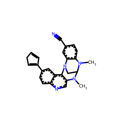 CN1c2ccc(C#N)cc2N2CC1N(C)c1cnc3ccc(C4=CCC=C4)cc3c12